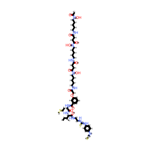 CC[C@H](C)[C@H](NC(=O)[C@H](CCSC)NC(=O)c1cccc(OCC(=O)NCCCCCN(O)C(=O)CCC(=O)NCCCCCN(O)C(=O)CCC(=O)NCCCCCN(O)C(C)=O)c1)C(=O)NCCNC(=S)Nc1ccc(N=C=S)cc1